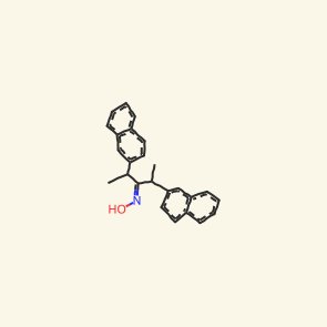 CC(C(=NO)C(C)c1ccc2ccccc2c1)c1ccc2ccccc2c1